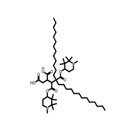 CCCCCCCCCCCCCC(CCCCCCCCCCCCC)(C(=O)OC1CCN(C)C(C)(C)C1(C)C)C(C(=O)OC1CCN(C)C(C)(C)C1(C)C)C(CC(=O)O)C(=O)O